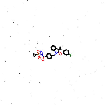 O=C(NS(=O)(=O)C1CC1)c1ccc(CN2C(=O)[C@]3(C[C@@H]3c3ccc(F)cc3)c3ccccc32)cc1